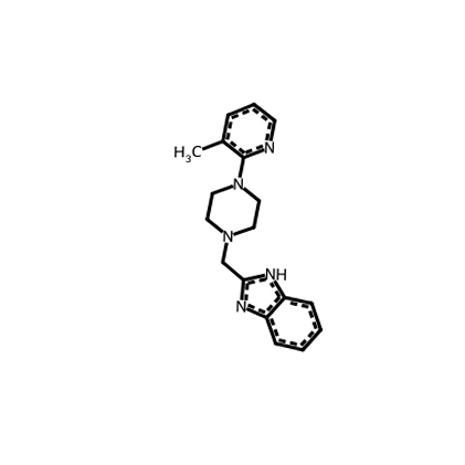 Cc1cccnc1N1CCN(Cc2nc3ccccc3[nH]2)CC1